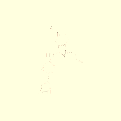 C=CCn1nc(Nc2ccc(-c3cnn(C)c3)cc2)c2c1CCN(C(C)=O)C2